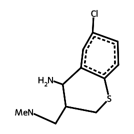 CNCC1CSc2ccc(Cl)cc2C1N